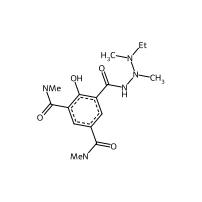 CCN(C)N(C)NC(=O)c1cc(C(=O)NC)cc(C(=O)NC)c1O